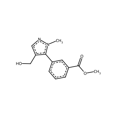 COC(=O)c1cccc(-c2c(CO)cnn2C)c1